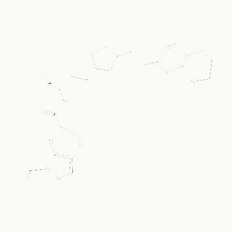 O=C(NC(CCN1CCC(CCc2ccc3c(n2)NCCC3)C1)C(=O)O)c1ccc2cnn(C(F)F)c2c1